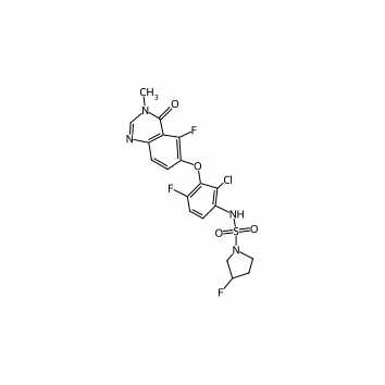 Cn1cnc2ccc(Oc3c(F)ccc(NS(=O)(=O)N4CCC(F)C4)c3Cl)c(F)c2c1=O